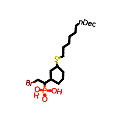 CCCCCCCCCCCCCCCCSC1CCCC(C(CBr)P(=O)(O)O)C1